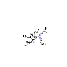 C\C=C(C)/C(=C\C=C(/C)F)C(=N/C=N)/NC/C(=C/NCC)C(=N)CCl